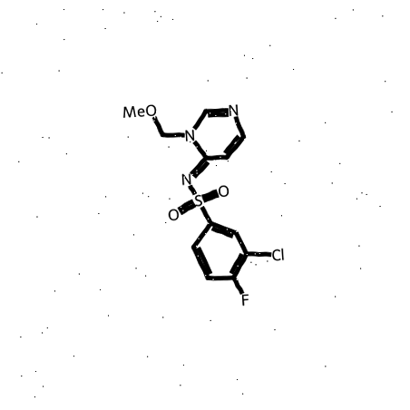 COCn1cncc/c1=N\S(=O)(=O)c1ccc(F)c(Cl)c1